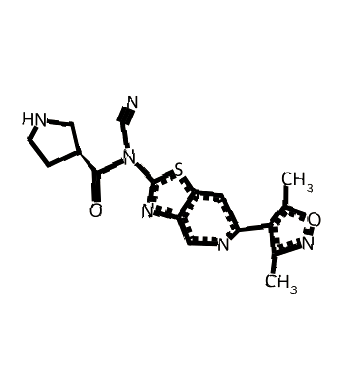 Cc1noc(C)c1-c1cc2sc(N(C#N)C(=O)[C@H]3CCNC3)nc2cn1